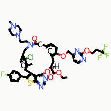 CCOC(=O)[C@H]1Cc2cc(ccc2OCc2ccnc(OCCC(F)(F)F)n2)CC(=O)N(CCN2CCN(C)CC2)Cc2ccc(c(C)c2Cl)-c2c(-c3ccc(F)cc3)sc3ncnc(c23)O1